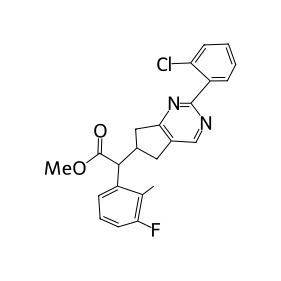 COC(=O)C(c1cccc(F)c1C)C1Cc2cnc(-c3ccccc3Cl)nc2C1